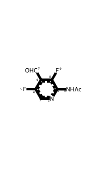 CC(=O)Nc1ncc(F)c(C=O)c1F